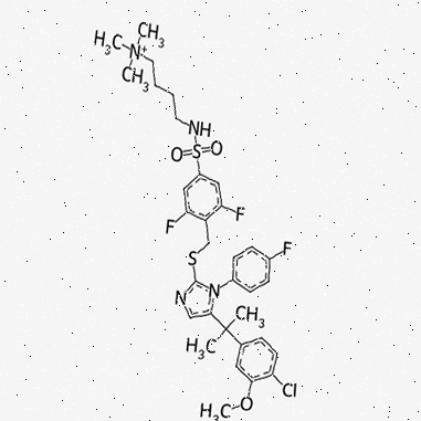 COc1cc(C(C)(C)c2cnc(SCc3c(F)cc(S(=O)(=O)NCCCC[N+](C)(C)C)cc3F)n2-c2ccc(F)cc2)ccc1Cl